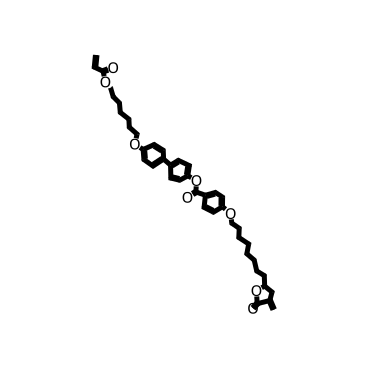 C=CC(=O)OCCCCCCCOc1ccc(-c2ccc(OC(=O)c3ccc(OCCCCCCCCC4CC(=C)C(=O)O4)cc3)cc2)cc1